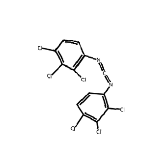 Clc1ccc(N=C=Nc2ccc(Cl)c(Cl)c2Cl)c(Cl)c1Cl